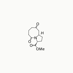 COC(=O)[C@@H]1CC[C@@H]2CC(=O)CCCC(=O)N21